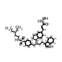 CCN(CC)CCNS(=O)(=O)c1ccc(CN(CCc2c[nH]c3ccccc23)C2CCc3cc(C=CC(=O)NO)ccc32)cc1